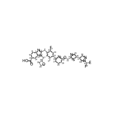 Cc1cc(Cc2nc3ccc(C(=O)O)cc3n2CC2CCO2)c(F)cc1-c1cccc(OCc2ncc(-c3cnn(C(F)F)c3)s2)n1